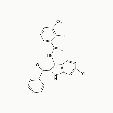 O=C(Nc1c(C(=O)c2ccccc2)[nH]c2cc(Cl)ccc12)c1cccc(C(F)(F)F)c1F